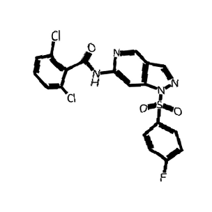 O=C(Nc1cc2c(cn1)cnn2S(=O)(=O)c1ccc(F)cc1)c1c(Cl)cccc1Cl